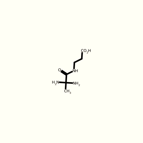 CC(N)(N)C(=O)NCCC(=O)O